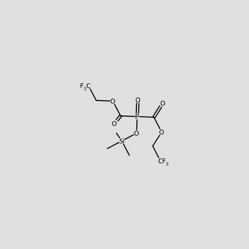 C[Si](C)(C)OP(=O)(C(=O)OCC(F)(F)F)C(=O)OCC(F)(F)F